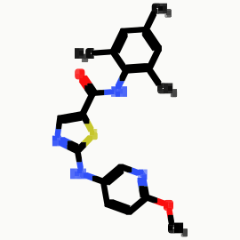 COc1ccc(Nc2ncc(C(=O)Nc3c(C)cc(C)cc3C)s2)cn1